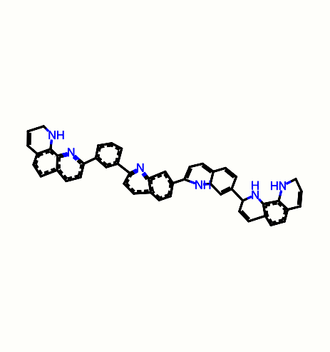 C1=Cc2ccc3c(c2NC1)NC(C1=CC2NC(c4ccc5ccc(-c6cccc(-c7ccc8ccc9c(c8n7)NCC=C9)c6)nc5c4)=CC=C2C=C1)C=C3